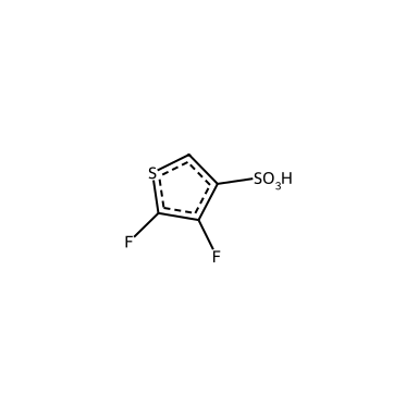 O=S(=O)(O)c1csc(F)c1F